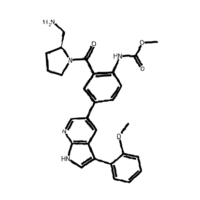 COC(=O)Nc1ccc(-c2cnc3[nH]cc(-c4ccccc4OC)c3c2)cc1C(=O)N1CCC[C@H]1CN